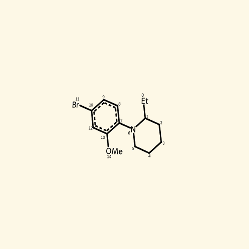 CCC1CCCCN1c1ccc(Br)cc1OC